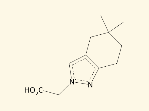 CC1(C)CCc2nn(CC(=O)O)cc2C1